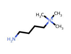 C[N+](C)(C)CCCCN